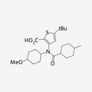 COC1CCC(N(C(=O)C2CCC(C)CC2)c2cc(C(C)(C)C)sc2C(=O)O)CC1